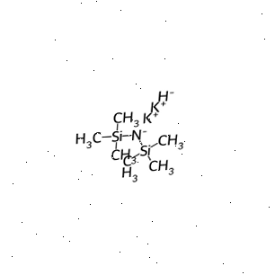 C[Si](C)(C)[N-][Si](C)(C)C.[H-].[K+].[K+]